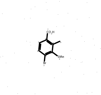 CSc1c(Br)ccc(C(=O)O)c1C